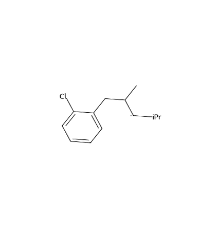 CC(C)[CH]C(C)Cc1ccccc1Cl